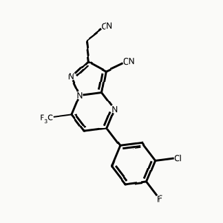 N#CCc1nn2c(C(F)(F)F)cc(-c3ccc(F)c(Cl)c3)nc2c1C#N